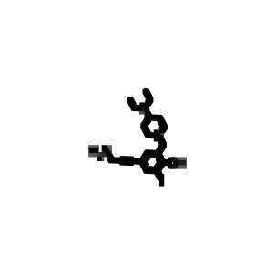 CCN(CC)C1CCN(Cc2cc(C#CCN)cc(I)c2O)CC1